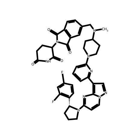 CN(Cc1ccc2c(c1)C(=O)N(C1CCC(=O)NC1=O)C2=O)C1CCN(c2cccc(-c3cnn4ccc(N5CCC[C@@H]5c5ccc(F)cc5F)nc34)n2)CC1